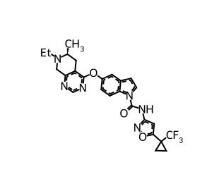 CCN1Cc2ncnc(Oc3ccc4c(ccn4C(=O)Nc4cc(C5(C(F)(F)F)CC5)on4)c3)c2C[C@@H]1C